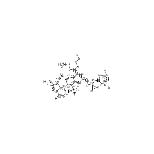 CCCCN(CCN)c1nc(OCC2(CN3C[C@@H](C)O[C@@H](C)C3)CC2)nc2c(C(F)(F)F)c(C3=CC=C(F)C4SC(N)=C(C#N)C34)ncc12